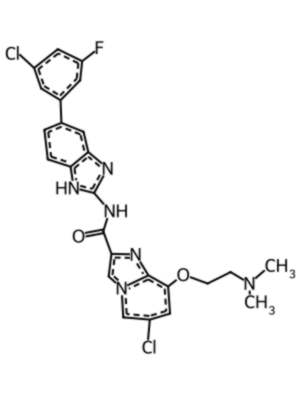 CN(C)CCOc1cc(Cl)cn2cc(C(=O)Nc3nc4cc(-c5cc(F)cc(Cl)c5)ccc4[nH]3)nc12